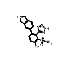 NS(=O)(=O)c1c(Br)ccc(-c2ccc3c(c2)CNC3)c1-c1nn[nH]n1